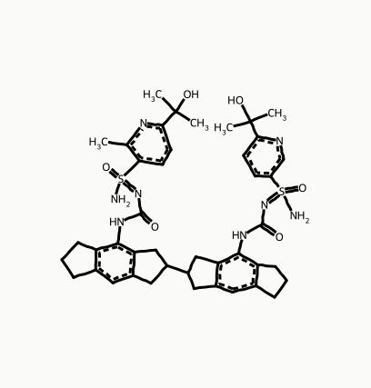 Cc1nc(C(C)(C)O)ccc1S(N)(=O)=NC(=O)Nc1c2c(cc3c1CC(C1Cc4cc5c(c(NC(=O)N=S(N)(=O)c6ccc(C(C)(C)O)nc6)c4C1)CCC5)C3)CCC2